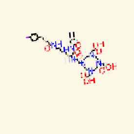 CC(=O)NC(=O)[C@H](CCCCCNC(=O)CCCc1ccc(I)cc1)NC(=O)CN1CCN(CC(=O)O)CCN(CC(=O)O)CCN(CC(=O)O)CC1